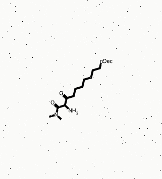 CCCCCCCCCCCCCCCCCC(=O)C(N)C(=O)N(C)C